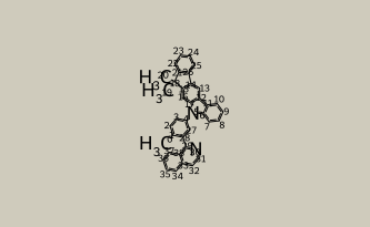 Cc1ccc(-n2c3ccccc3c3cc4c(cc32)C(C)(C)c2ccccc2-4)cc1-c1nccc2ccccc12